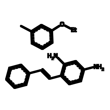 CCOc1cccc(C)c1.Nc1ccc(C=Cc2ccccc2)c(N)c1